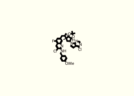 COc1ccc(CNc2nc3cc(CC(C)[C@@]4(C)C[C@@H](n5ccc6c(Cl)ncnc65)[C@@H]5OC(C)(C)O[C@@H]54)cc(F)c3cc2Cl)cc1